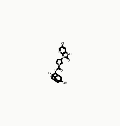 O=C(OC1C2CC3C[C@@H]1CC(O)(C3)C2)N1CCC(n2c(=O)[nH]c3cc(Cl)cnc32)C1